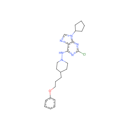 Clc1nc(NN2CCC(CCCOc3ccccc3)CC2)c2ncn(C3CCCC3)c2n1